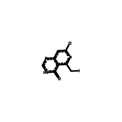 O=c1[nH]cnc2cc(Cl)nc(CI)c12